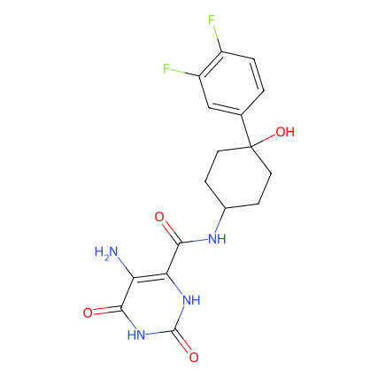 Nc1c(C(=O)NC2CCC(O)(c3ccc(F)c(F)c3)CC2)[nH]c(=O)[nH]c1=O